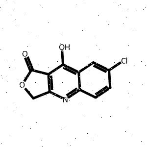 O=C1OCc2nc3ccc(Cl)cc3c(O)c21